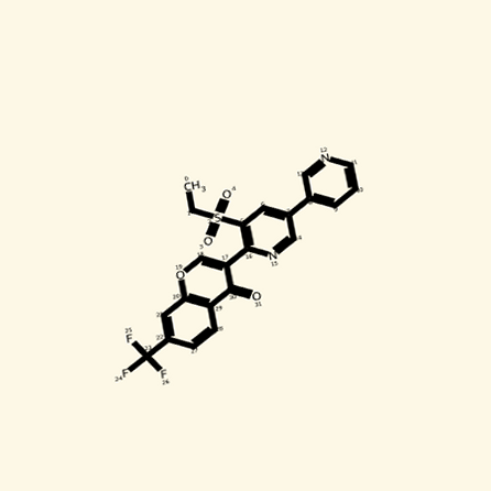 CCS(=O)(=O)c1cc(-c2cccnc2)cnc1-c1coc2cc(C(F)(F)F)ccc2c1=O